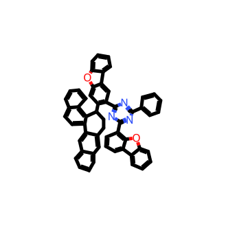 c1ccc(-c2nc(-c3cc4c(cc3C3CCc5cc6ccccc6cc5-c5ccc6ccccc6c53)oc3ccccc34)nc(-c3cccc4c3oc3ccccc34)n2)cc1